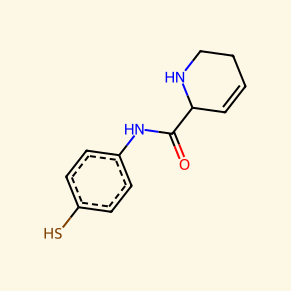 O=C(Nc1ccc(S)cc1)C1C=CCCN1